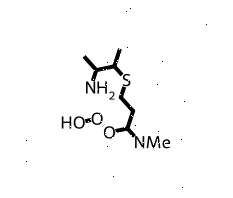 CNC(CCSC(C)C(C)N)OOO